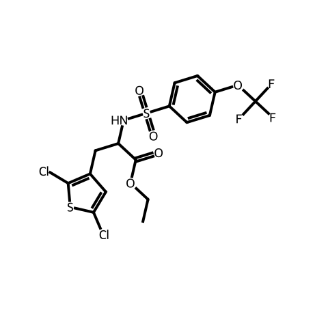 CCOC(=O)C(Cc1cc(Cl)sc1Cl)NS(=O)(=O)c1ccc(OC(F)(F)F)cc1